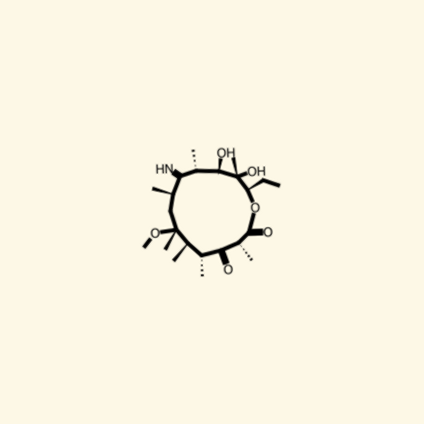 CC[C@H]1OC(=O)[C@H](C)C(=O)[C@H](C)[C@@H](C)[C@](C)(OC)C[C@@H](C)C(=N)[C@H](C)[C@@H](O)[C@]1(C)O